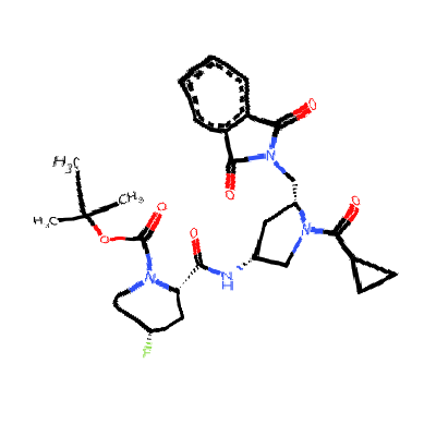 CC(C)(C)OC(=O)N1C[C@@H](F)C[C@H]1C(=O)N[C@@H]1C[C@H](CN2C(=O)c3ccccc3C2=O)N(C(=O)C2CC2)C1